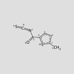 Cc1ccc(C(=O)N=C=S)s1